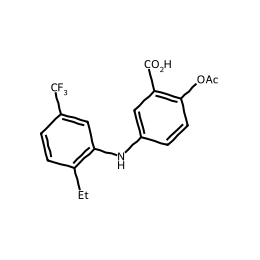 CCc1ccc(C(F)(F)F)cc1Nc1ccc(OC(C)=O)c(C(=O)O)c1